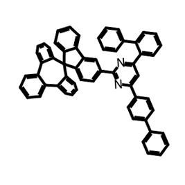 c1ccc(-c2ccc(-c3cc(-c4ccccc4-c4ccccc4)nc(-c4ccc5c(c4)-c4ccccc4C54c5ccccc5-c5ccccc5-c5ccccc54)n3)cc2)cc1